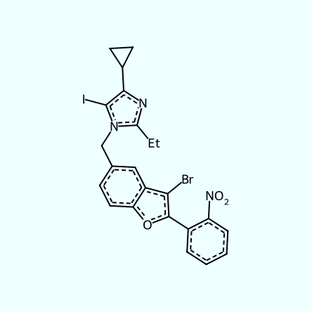 CCc1nc(C2CC2)c(I)n1Cc1ccc2oc(-c3ccccc3[N+](=O)[O-])c(Br)c2c1